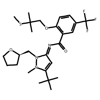 CSC(C)(C)COc1ccc(C(F)(F)F)cc1C(=O)/N=c1\cc(C(C)(C)C)n(C)n1C[C@H]1CCCO1